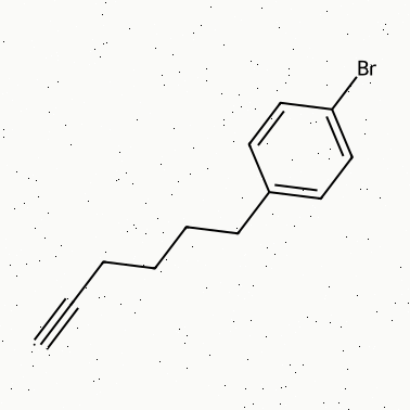 [C]#CCCCCc1ccc(Br)cc1